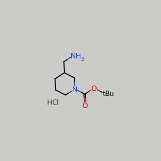 CC(C)(C)OC(=O)N1CCCC(CN)C1.Cl